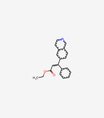 CCOC(=O)C=C(c1ccccc1)c1ccc2cnccc2c1